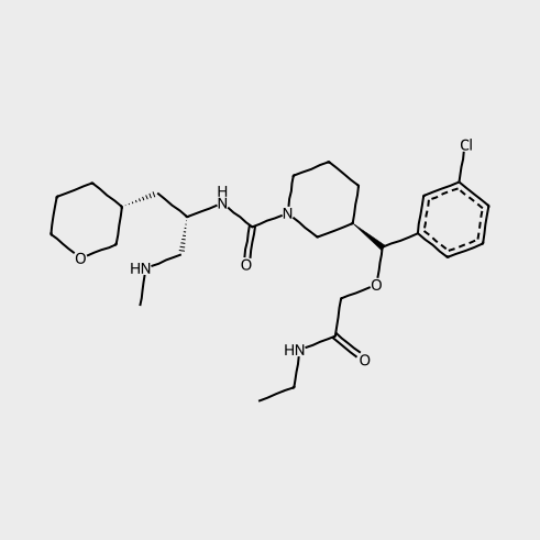 CCNC(=O)COC(c1cccc(Cl)c1)[C@@H]1CCCN(C(=O)N[C@H](CNC)C[C@H]2CCCOC2)C1